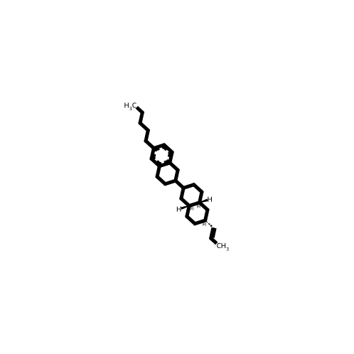 CC=C[C@@H]1CC[C@@H]2CC(C3CCc4cc(CCCCC)ccc4C3)CC[C@@H]2C1